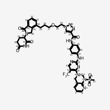 CN(c1ncccc1CNc1nc(Nc2ccc(NC(=O)c3cn(CCOCCCc4cccc5c4CN(C4CCC(=O)NC4=O)C5=O)nn3)cc2)ncc1C(F)(F)F)S(C)(=O)=O